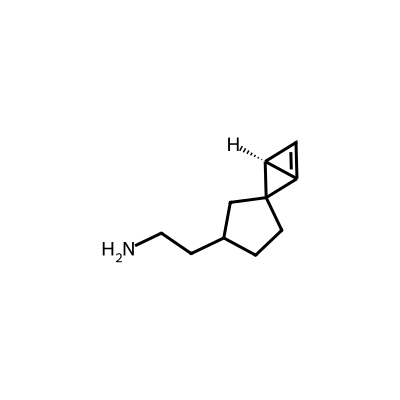 NCCC1CCC2(C1)C1=C[C@@H]12